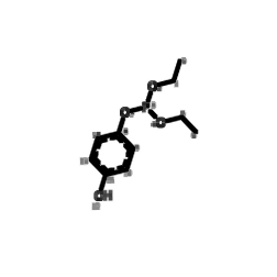 CCOP(OCC)Oc1ccc(O)cc1